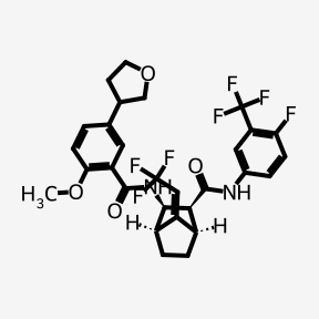 COc1ccc(C2CCOC2)cc1C(=O)N[C@H]1[C@@H](C(=O)Nc2ccc(F)c(C(F)(F)F)c2)[C@H]2CC[C@@H]1/C2=C\C(F)(F)F